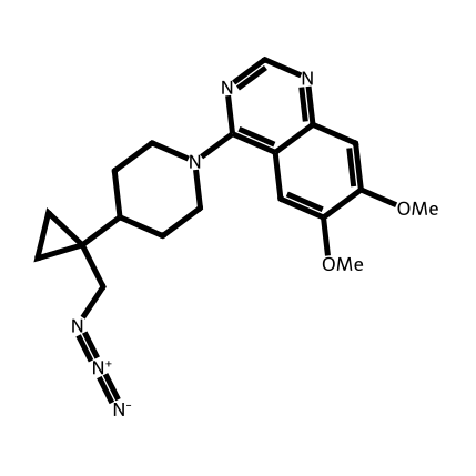 COc1cc2ncnc(N3CCC(C4(CN=[N+]=[N-])CC4)CC3)c2cc1OC